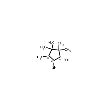 C[C@@H]1[C@@H](S)[C@@H](O)C(C)(C)C1(C)C